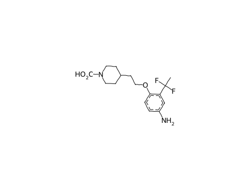 CC(F)(F)c1cc(N)ccc1OCCC1CCN(C(=O)O)CC1